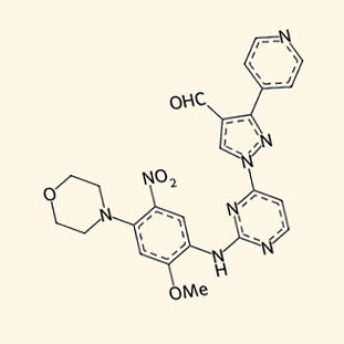 COc1cc(N2CCOCC2)c([N+](=O)[O-])cc1Nc1nccc(-n2cc(C=O)c(-c3ccncc3)n2)n1